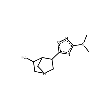 CN(C)c1nsc(C2CN3CC(O)C2C3)n1